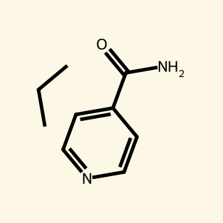 CCC.NC(=O)c1ccncc1